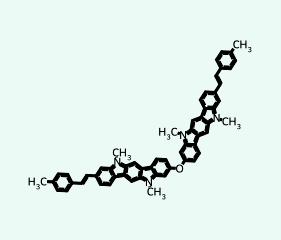 Cc1ccc(/C=C/c2ccc3c4cc5c(cc4n(C)c3c2)c2ccc(Oc3ccc4c6cc7c(cc6n(C)c4c3)c3ccc(/C=C/c4ccc(C)cc4)cc3n7C)cc2n5C)cc1